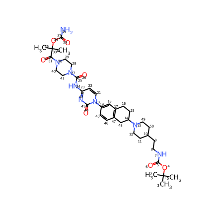 CC(C)(C)OC(=O)NCCC1CCN(C2CCc3cc(-n4ccc(NC(=O)N5CCN(C(=O)C(C)(C)OC(N)=O)CC5)nc4=O)ccc3C2)CC1